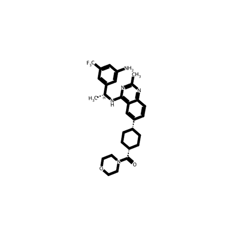 Cc1nc(N[C@H](C)c2cc(N)cc(C(F)(F)F)c2)c2cc([C@H]3CC[C@@H](C(=O)N4CCOCC4)CC3)ccc2n1